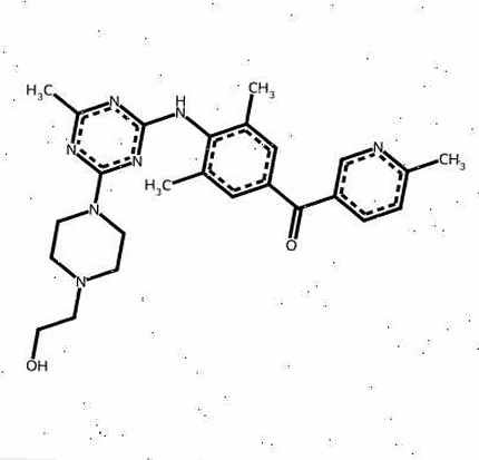 Cc1ccc(C(=O)c2cc(C)c(Nc3nc(C)nc(N4CCN(CCO)CC4)n3)c(C)c2)cn1